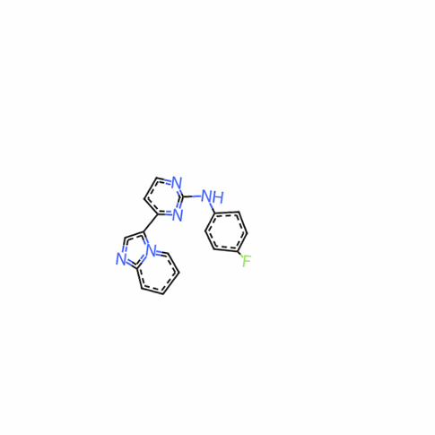 Fc1ccc(Nc2nccc(-c3cnc4ccccn34)n2)cc1